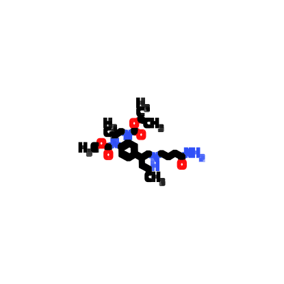 CCCC(CNCCCC(N)=O)c1ccc2c(c1)N(C(=O)OC(C)C)C[C@H](C)N2C(=O)OC